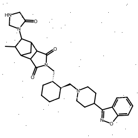 CC1C2CC(C3C(=O)N(C[C@H]4CCCC[C@@H]4CN4CCC(c5noc6ccccc56)CC4)C(=O)C23)C1N1CNCC1=O